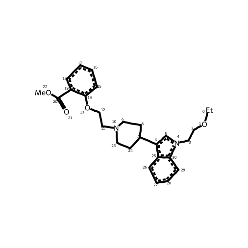 CCOCCn1cc(C2CCN(CCOc3ccccc3C(=O)OC)CC2)c2ccccc21